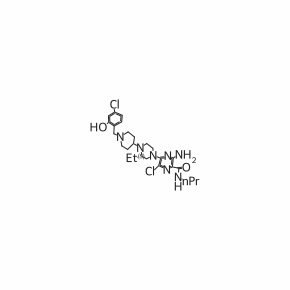 CCCNC(=O)c1nc(Cl)c(N2CCN(C3CCN(Cc4ccc(Cl)cc4O)CC3)[C@@H](CC)C2)nc1N